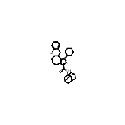 O=C(NC12CC3CC(CC(C3)C1)C2)c1nn(C2CCCCC2)c2c1CCCCC2Cc1ccccc1Cl